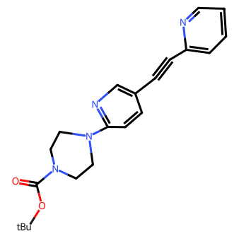 CC(C)(C)OC(=O)N1CCN(c2ccc(C#Cc3ccccn3)cn2)CC1